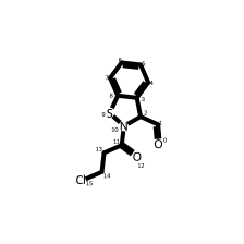 O=CC1c2ccccc2SN1C(=O)CCCl